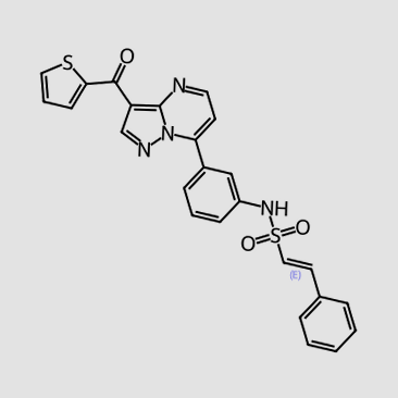 O=C(c1cccs1)c1cnn2c(-c3cccc(NS(=O)(=O)/C=C/c4ccccc4)c3)ccnc12